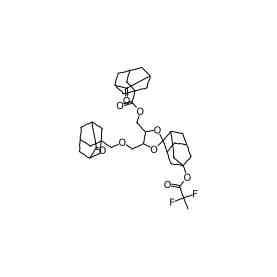 CC(F)(F)C(=O)OC12CC3CC(C1)C1(OC(COCC45CC6CC(C4)C(=O)C(C6)C5)C(COC(=O)C45CC6CC(C4)C(=O)C(C6)C5)O1)C(C3)C2